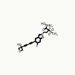 C[C@@](CCn1cc2cc(C#CC#CC3(O)COC3)c(F)cc2n1)(C(=O)NO)S(C)(=O)=O